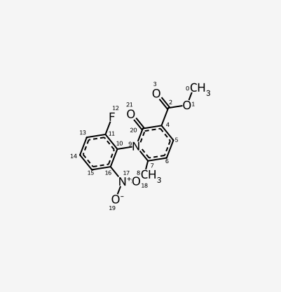 COC(=O)c1ccc(C)n(-c2c(F)cccc2[N+](=O)[O-])c1=O